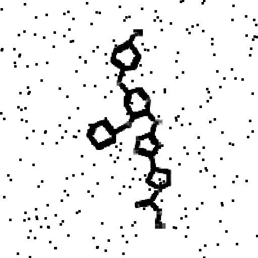 CC(C)(C)OC(=O)N1CCC(c2nsc(Nc3ncc(Sc4ccc(C#N)cc4)cc3Oc3ccccc3)n2)C1